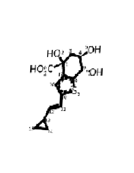 O=C(O)[C@@]1(O)C[C@@H](O)[C@H](O)c2sc(/C=C/C3CC3)cc21